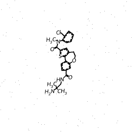 CN(C(=O)c1cc2c(s1)-c1ccc(C(=O)NCC(C)(C)N)cc1OCC2)c1ccccc1Cl